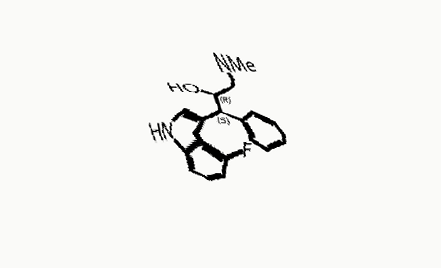 CNC[C@H](O)[C@@H](c1ccccc1)c1c[nH]c2cccc(F)c12